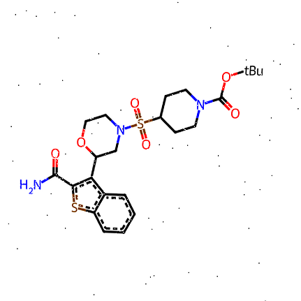 CC(C)(C)OC(=O)N1CCC(S(=O)(=O)N2CCOC(c3c(C(N)=O)sc4ccccc34)C2)CC1